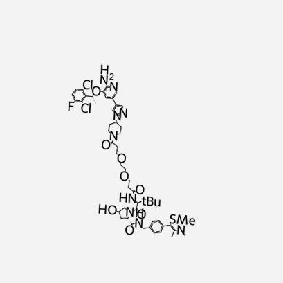 C=N/C(C)=C(\SC)c1ccc(CNC(=O)[C@@H]2C[C@@H](O)CN2C(=O)[C@@H](NC(=O)CCOCCOCCC(=O)N2CCC(n3cc(-c4cnc(N)c(O[C@H](C)c5c(Cl)ccc(F)c5Cl)c4)cn3)CC2)C(C)(C)C)cc1